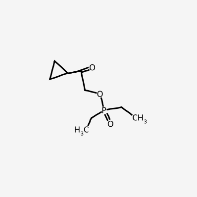 CCP(=O)(CC)OCC(=O)C1CC1